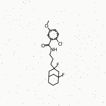 COc1ccc(Cl)c(C(=O)NCCCC2(F)CC3CCCC(F)(C3)C2)c1